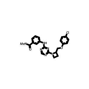 CNC(=O)c1cccc(Nc2ncnc(N3CCC3COc3ccc(Cl)cc3)n2)c1